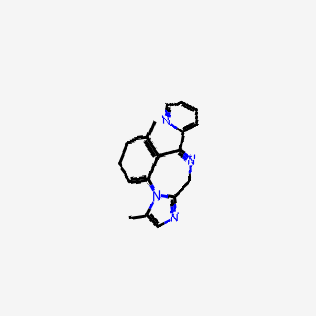 CC1=C2C(=CCC1)n1c(C)cnc1CN=C2c1ccccn1